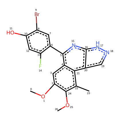 COc1cc2c(-c3cc(Br)c(O)cc3F)nc3[nH]ncc3c2c(C)c1OC